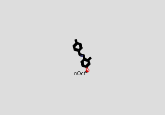 CCCCCCCCOc1ccc(/C=C/c2ccc(C)cc2)c(C)c1